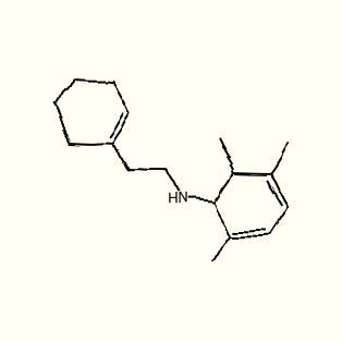 CC1=CC=C(C)C(NCCC2=CCCCC2)C1C